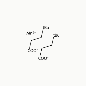 CC(C)(C)CCC(=O)[O-].CC(C)(C)CCC(=O)[O-].[Mn+2]